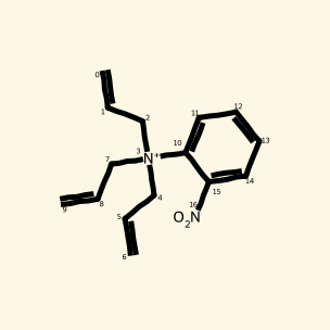 C=CC[N+](CC=C)(CC=C)c1ccccc1[N+](=O)[O-]